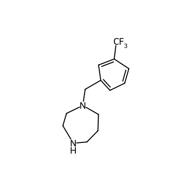 FC(F)(F)c1cccc(CN2CCCNCC2)c1